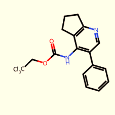 O=C(Nc1c(-c2ccccc2)cnc2c1CCC2)OCC(Cl)(Cl)Cl